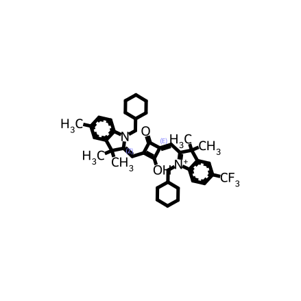 Cc1ccc2c(c1)C(C)(C)/C(=C/C1=C(O)C(=C\C3=[N+](CC4CCCCC4)c4ccc(C(F)(F)F)cc4C3(C)C)/C1=O)N2CC1CCCCC1